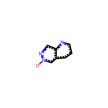 [O-][n+]1cc2cccnc2cn1